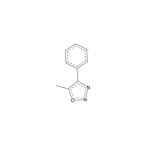 Cc1onnc1-c1c[c]ccc1